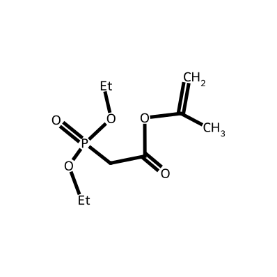 C=C(C)OC(=O)CP(=O)(OCC)OCC